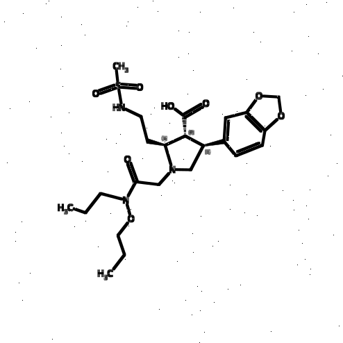 CCCON(CCC)C(=O)CN1C[C@H](c2ccc3c(c2)OCO3)[C@@H](C(=O)O)[C@@H]1CCNS(C)(=O)=O